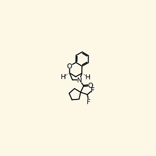 O=C(N1C[C@@H]2C[C@H]1c1ccccc1O2)C1(C(F)F)CCCC1